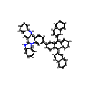 c1ccc2cc(-c3c4ccccc4c(-c4ccc5ccccc5c4)c4cc(-c5ccc6c7nc8ccccc8cc7c7nc8ccccc8n7c6c5)ccc34)ccc2c1